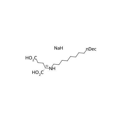 CCCCCCCCCCCCCCCCCCN[C@@H](CCC(=O)O)C(=O)O.[NaH]